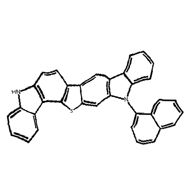 c1ccc2c(-n3c4ccccc4c4cc5c(cc43)sc3c5ccc4[nH]c5ccccc5c43)cccc2c1